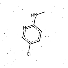 CNc1ccc(Cl)[c]n1